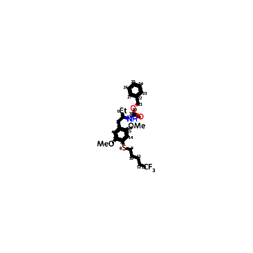 CCC(Cc1cc(OC)c(SCCCCC(F)(F)F)cc1OC)NC(=O)OCc1ccccc1